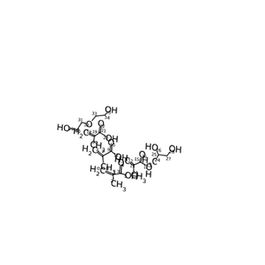 C=C(C)C(=O)O.C=C(C)C(=O)O.C=C(C)C(=O)O.C=C(C)C(=O)O.CC(O)CO.OCCOCCO